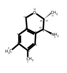 Cc1cc2c(cc1C)[C@H](N)[C@@H](C)OC2